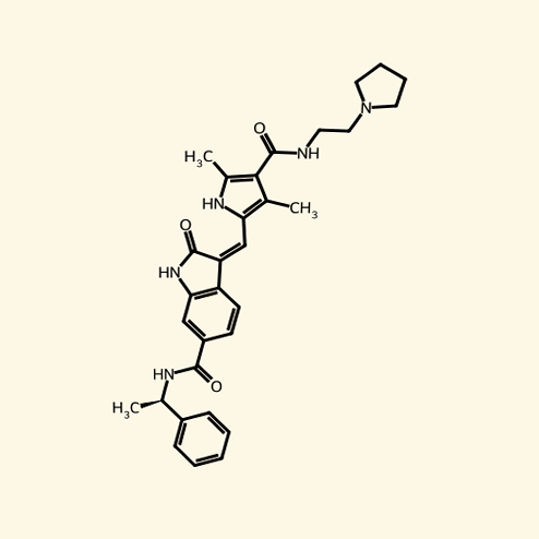 Cc1[nH]c(C=C2C(=O)Nc3cc(C(=O)N[C@H](C)c4ccccc4)ccc32)c(C)c1C(=O)NCCN1CCCC1